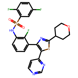 O=S(=O)(Nc1cccc(-c2nc(C3CCOCC3)sc2-c2ccncn2)c1F)c1cc(F)ccc1F